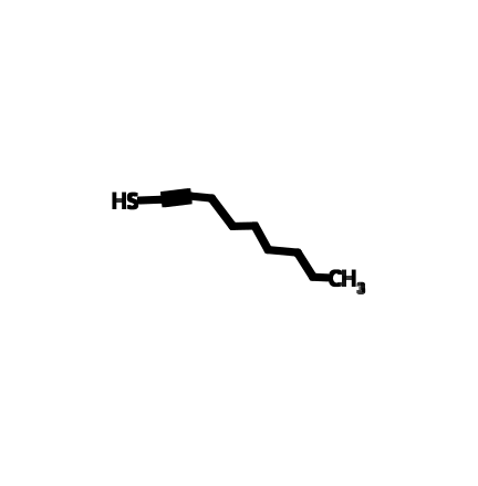 CCCCCCCC#CS